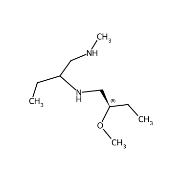 CCC(CNC)NC[C@@H](CC)OC